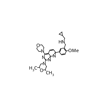 COc1ccc(-c2ccc3c(N4CCOCC4)nc(N4CC(C)OC(C)C4)nc3n2)cc1CNCC1CC1